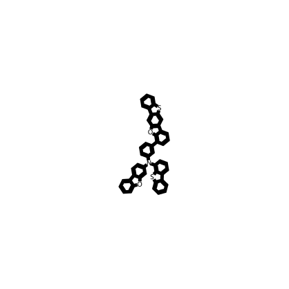 c1cc(-c2cccc3c2oc2cc4c(cc23)sc2ccccc24)cc(N(c2ccc3c(c2)oc2ccccc23)c2cccc3c2sc2ccccc23)c1